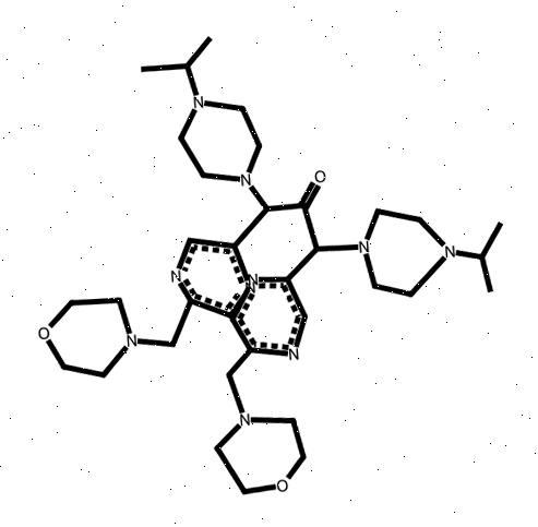 CC(C)N1CCN(C(C(=O)C(c2cnc(CN3CCOCC3)cn2)N2CCN(C(C)C)CC2)c2cnc(CN3CCOCC3)cn2)CC1